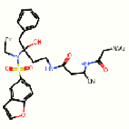 CNCC(=O)NC(C#N)CC(=O)NCCC(O)(Cc1ccccc1)N(CC(C)C)S(=O)(=O)c1ccc2occc2c1